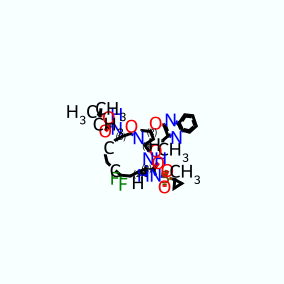 CCc1nc2ccccc2nc1O[C@@H]1C[C@H]2C(=O)N[C@]3(C(=O)NS(=O)(=O)C4(C)CC4)C[C@H]3CC(F)(F)CCCCC[C@H](NC(=O)OC(C)(C)C)C(=O)N2C1